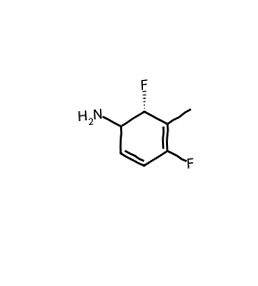 CC1=C(F)C=CC(N)[C@@H]1F